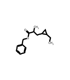 CCC1CC1CC(C)C(=O)OCc1ccccc1